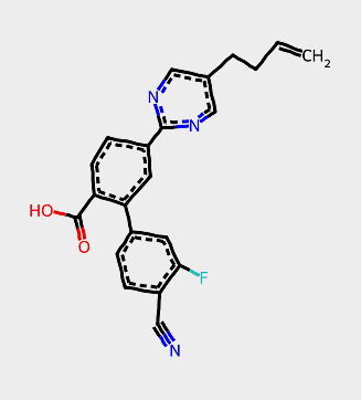 C=CCCc1cnc(-c2ccc(C(=O)O)c(-c3ccc(C#N)c(F)c3)c2)nc1